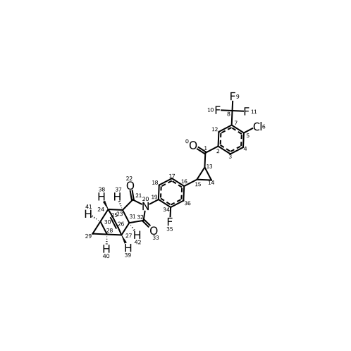 O=C(c1ccc(Cl)c(C(F)(F)F)c1)C1CC1c1ccc(N2C(=O)[C@@H]3[C@@H]4C=C[C@@H]([C@H]5C[C@@H]45)[C@@H]3C2=O)c(F)c1